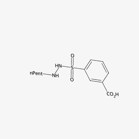 CCCCCNNS(=O)(=O)c1cccc(C(=O)O)c1